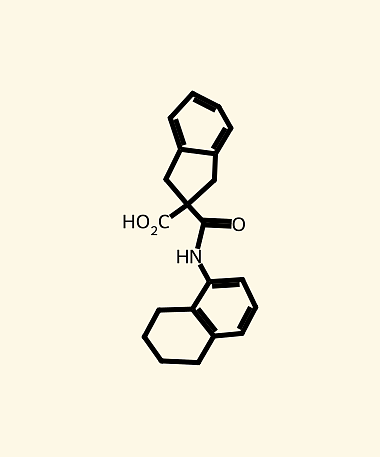 O=C(O)C1(C(=O)Nc2cccc3c2CCCC3)Cc2ccccc2C1